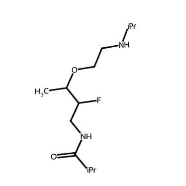 CC(C)NCCOC(C)C(F)CNC(=O)C(C)C